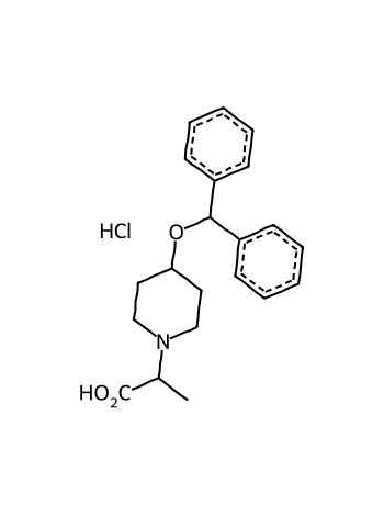 CC(C(=O)O)N1CCC(OC(c2ccccc2)c2ccccc2)CC1.Cl